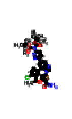 C[C@@H](Oc1cc(-n2cnc3cc(-c4ccc(N(C(=O)OC(C)(C)C)C(=O)OC(C)(C)C)nn4)ccc32)sc1C(N)=O)c1ccccc1Cl